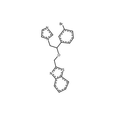 Brc1cccc(C(Cn2ccnc2)OCc2nc3ccccc3s2)c1